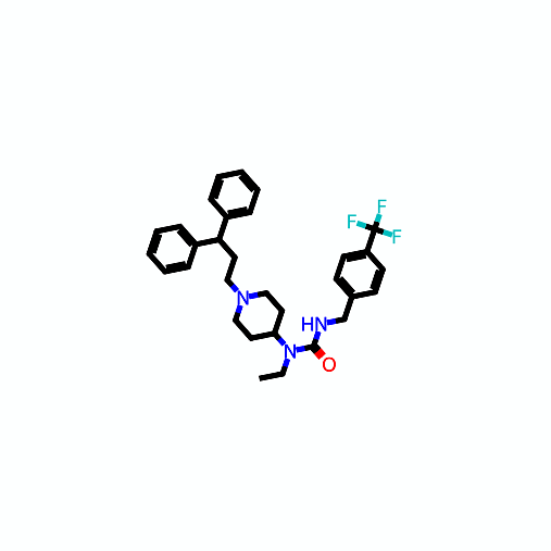 CCN(C(=O)NCc1ccc(C(F)(F)F)cc1)C1CCN(CCC(c2ccccc2)c2ccccc2)CC1